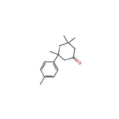 Cc1ccc(C2(C)CC(=O)CC(C)(C)C2)cc1